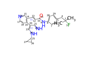 CC(C)(F)Cc1ccc(NC(=O)/C=C/c2cnccc2/C(C=N)=C/NC2CC2)cc1